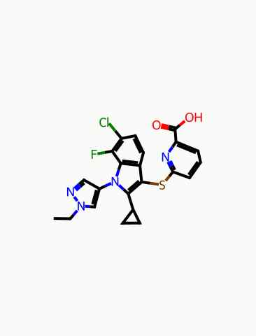 CCn1cc(-n2c(C3CC3)c(Sc3cccc(C(=O)O)n3)c3ccc(Cl)c(F)c32)cn1